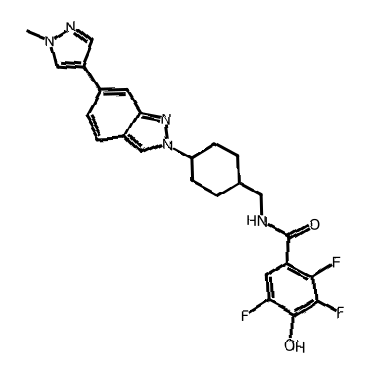 Cn1cc(-c2ccc3cn(C4CCC(CNC(=O)c5cc(F)c(O)c(F)c5F)CC4)nc3c2)cn1